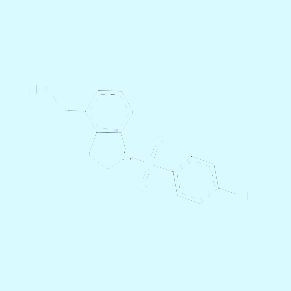 COc1cccc2c1CCN2S(=O)(=O)c1ccc(C)cc1